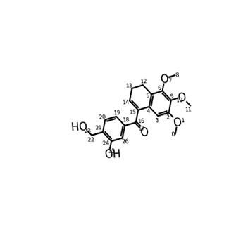 COc1cc2c(c(OC)c1OC)CCC=C2C(=O)c1ccc(CO)c(O)c1